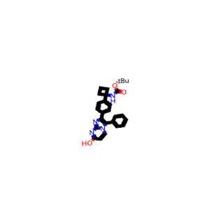 CC(C)(C)OC(=O)NC1(c2ccc(-c3nc4nc(O)ccn4c3-c3ccccc3)cc2)CCC1